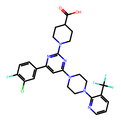 O=C(O)C1CCN(c2nc(-c3ccc(F)c(Cl)c3)cc(N3CCN(c4ncccc4C(F)(F)F)CC3)n2)CC1